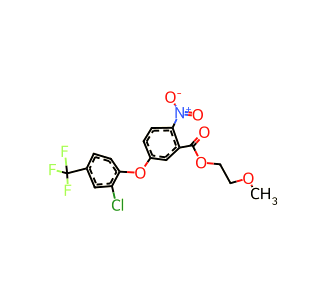 COCCOC(=O)c1cc(Oc2ccc(C(F)(F)F)cc2Cl)ccc1[N+](=O)[O-]